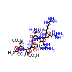 C[C@@H](O)[C@H](NC(=O)[C@H](CCC(=O)O)NC(=O)[C@H](CCC(=O)O)NC(=O)[C@@H](NC(=O)CNC(=O)[C@H](CC(N)=O)NC(=O)[C@H](CCCNC(=N)N)NC(=O)[C@H](CCCNC(=N)N)NC(=O)[C@@H](N)CCCNC(=N)N)[C@@H](C)O)C(=O)O